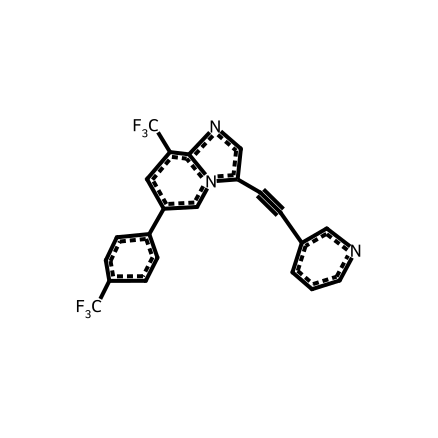 FC(F)(F)c1ccc(-c2cc(C(F)(F)F)c3ncc(C#Cc4cccnc4)n3c2)cc1